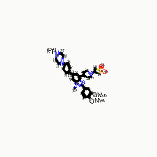 COc1ccc(-c2nc3c(C4CCN(C5CS(=O)(=O)C5)CC4)cc(-c4ccc(N5CCN(C(C)C)CC5)cc4)cc3n2C)cc1OC